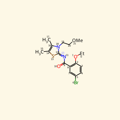 CCOc1ccc(Br)cc1C(=O)/N=c1\sc(C)c(C)n1CCOC